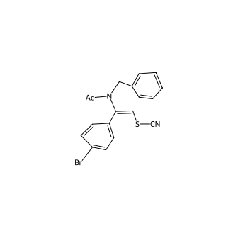 CC(=O)N(Cc1ccccc1)/C(=C/SC#N)c1ccc(Br)cc1